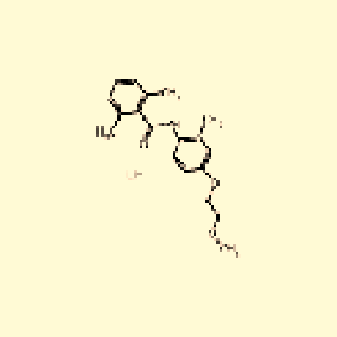 COCCOc1ccc(PC(=O)c2c(C)cccc2C)c(C)c1.[LiH]